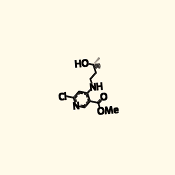 COC(=O)c1cnc(Cl)cc1NCC[C@@H](C)O